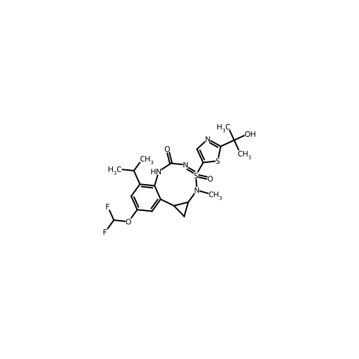 CC(C)c1cc(OC(F)F)cc2c1NC(=O)N=S(=O)(c1cnc(C(C)(C)O)s1)N(C)C1CC21